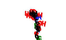 C/C(=C\c1ccc(O[C@@H]2O[C@H](/C(C)=C/COc3ccc(F)c(F)c3)C[C@@H]2F)c(O)c1)C(=O)N[C@@H]1[C@H](O)[C@@H](O)[C@H]2OCO[C@H]2[C@@H]1O